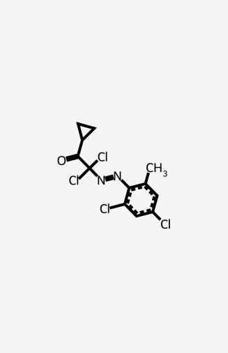 Cc1cc(Cl)cc(Cl)c1/N=N/C(Cl)(Cl)C(=O)C1CC1